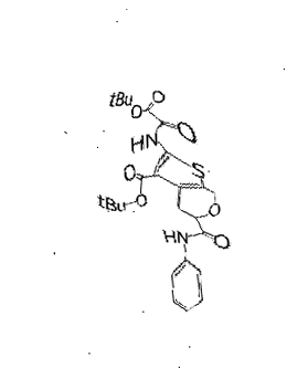 CC(C)(C)OC(=O)C(=O)Nc1sc2c(c1C(=O)OC(C)(C)C)CC(C(=O)Nc1ccccc1)OC2